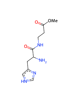 COC(=O)CCNC(=O)C(N)Cc1c[nH]cn1